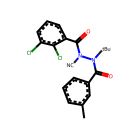 Cc1cccc(C(=O)N(N(C#N)C(=O)c2cccc(Cl)c2Cl)C(C)(C)C)c1